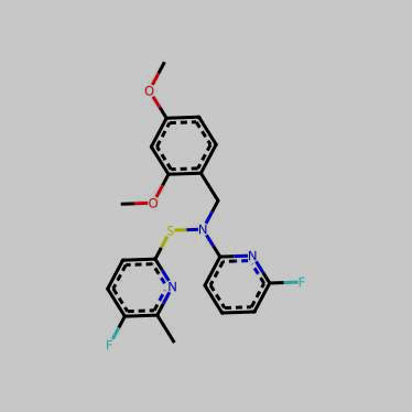 COc1ccc(CN(Sc2ccc(F)c(C)n2)c2cccc(F)n2)c(OC)c1